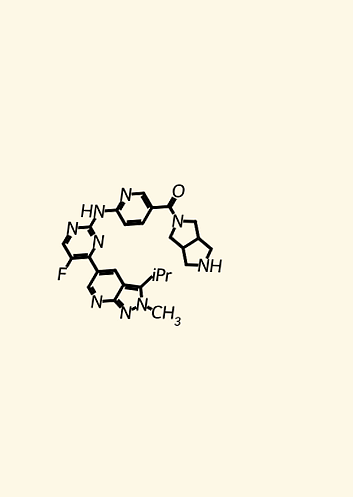 CC(C)c1c2cc(-c3nc(Nc4ccc(C(=O)N5CC6CNCC6C5)cn4)ncc3F)cnc2nn1C